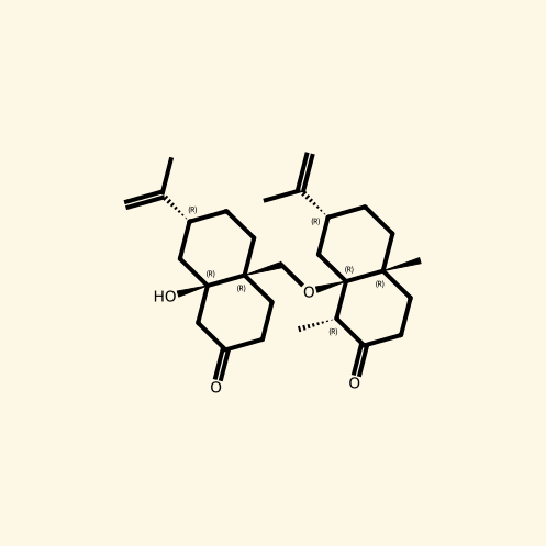 C=C(C)[C@@H]1CC[C@]2(CO[C@@]34C[C@H](C(=C)C)CC[C@]3(C)CCC(=O)[C@@H]4C)CCC(=O)C[C@]2(O)C1